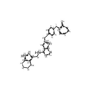 O=c1ccccn1Cc1ccc(Cn2cc3c(NCc4n[nH]c5c4CCCC5)ncnc3n2)cc1